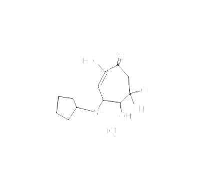 CC1=CC(NC2CCCC2)C(O)C(C)(C)CC1=O.Cl